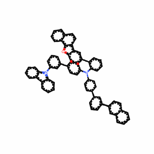 c1cc(-c2ccc(N(c3ccc(-c4cccc(-n5c6ccccc6c6ccccc65)c4)cc3)c3ccccc3-c3ccc4oc5c6ccccc6ccc5c4c3)cc2)cc(-c2ccc3ccccc3c2)c1